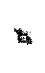 CCn1c(-c2cccnc2[C@H](C)OC)c2c3cc(ccc31)-c1cc(O)cc(c1)C[C@H](NC(=O)C(C(C)C)N(C)C(=O)[C@H]1CCN(C(=O)OC)C1)C(=O)N1CCC[C@H](N1)C(=O)OCC(C)(C)C2